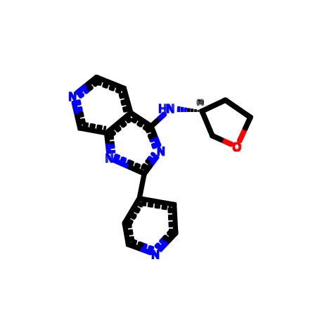 c1cc(-c2nc(N[C@@H]3CCOC3)c3ccncc3n2)ccn1